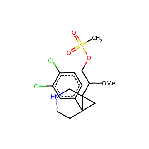 COC(COS(C)(=O)=O)C12CNCCC1(c1ccc(Cl)c(Cl)c1)C2